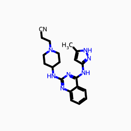 Cc1cc(Nc2nc(NC3CCN(CCC#N)CC3)nc3ccccc23)n[nH]1